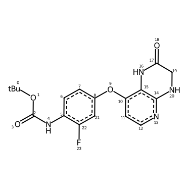 CC(C)(C)OC(=O)Nc1ccc(Oc2ccnc3c2NC(=O)CN3)cc1F